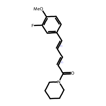 COc1ccc(/C=C/C=C/C(=O)N2CCCCC2)cc1F